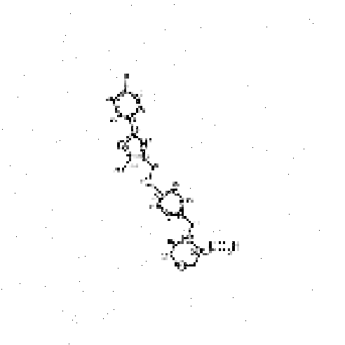 Cc1ccc(-c2nc(COc3ccc(CN4CCOC[C@H]4C(=O)O)cc3)c(C)o2)cc1